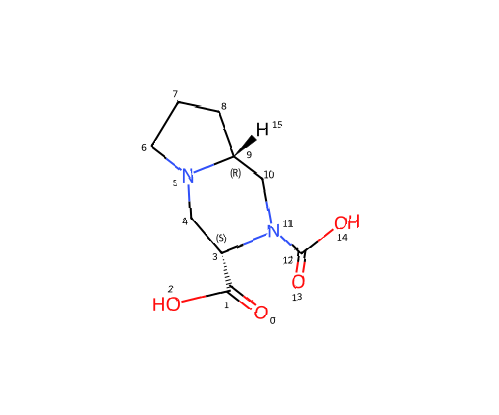 O=C(O)[C@@H]1CN2CCC[C@@H]2CN1C(=O)O